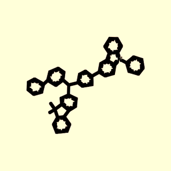 CC1(C)c2ccccc2-c2ccc(C(c3ccc(-c4ccc5c(c4)c4ccccc4n5-c4ccccc4)cc3)c3cccc(-c4ccccc4)c3)cc21